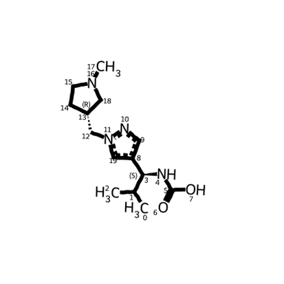 CC(C)[C@H](NC(=O)O)c1cnn(C[C@@H]2CCN(C)C2)c1